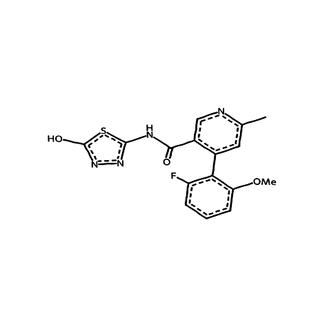 COc1cccc(F)c1-c1cc(C)ncc1C(=O)Nc1nnc(O)s1